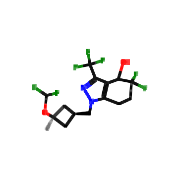 C[C@]1(OC(F)F)C[C@@H](Cn2nc(C(F)(F)F)c3c2CCC(F)(F)C3O)C1